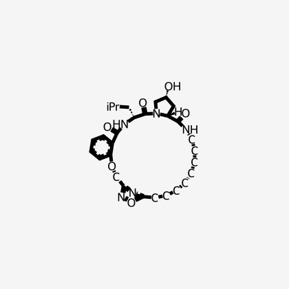 CC(C)C[C@H]1NC(=O)c2ccccc2OCc2noc(n2)CCCCCCCCNC(=O)[C@H]2C[C@@H](O)CN2C1=O